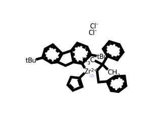 CC(C)(C)c1ccc2c(c1)Cc1c-2ccc(C(C)(C)C)[c]1/[Zr+2]([C]1=CC=CC1)=[C](/Cc1ccccc1)C(C)(C)c1ccccc1.[Cl-].[Cl-]